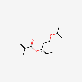 C=C(C)C(=O)O[C@H](CC)CCOC(C)C